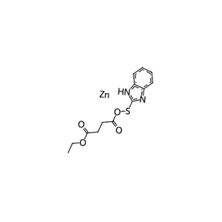 CCOC(=O)CCC(=O)OSc1nc2ccccc2[nH]1.[Zn]